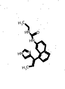 CC=C(c1c[nH]cn1)c1cccc2ccc(NC(=O)NCC)cc12